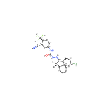 CC1(c2ccccc2)CN(C(=O)Nc2ccc(C(F)(F)F)c(C#N)c2)N=C1c1ccc(Cl)cc1